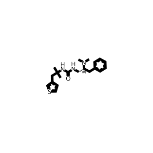 CN(C)[C@@H](CNC(=O)NC(C)(C)Cc1ccsc1)Cc1ccccc1